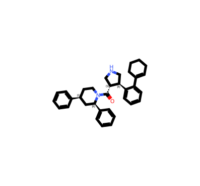 O=C([C@@H]1CNC[C@H]1c1ccccc1C1=CCCCC1)N1CC[C@H](c2ccccc2)C[C@@H]1c1ccccc1